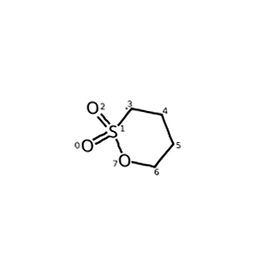 O=S1(=O)[CH]CCCO1